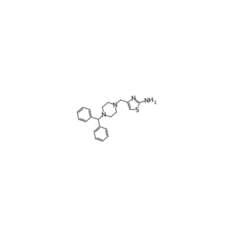 Nc1nc(CN2CCN(C(c3ccccc3)c3ccccc3)CC2)cs1